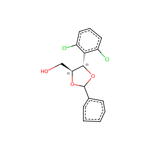 OC[C@@H]1OC(c2ccccc2)O[C@H]1c1c(Cl)cccc1Cl